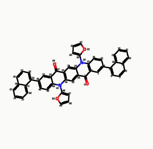 O=c1c2cc(-c3cccc4ccccc34)ccc2n(-c2ccco2)c2cc3c(=O)c4cc(-c5cccc6ccccc56)ccc4n(-c4ccco4)c3cc12